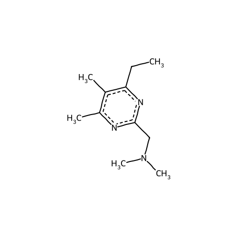 CCc1nc(CN(C)C)nc(C)c1C